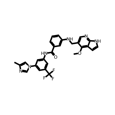 COc1c(CNc2cccc(C(=O)Nc3cc(-n4cnc(C)c4)cc(C(F)(F)F)c3)c2)cnc2[nH]ccc12